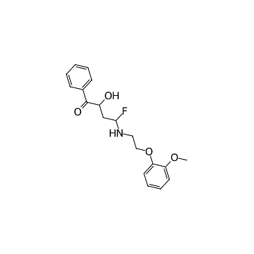 COc1ccccc1OCCNC(F)CC(O)C(=O)c1ccccc1